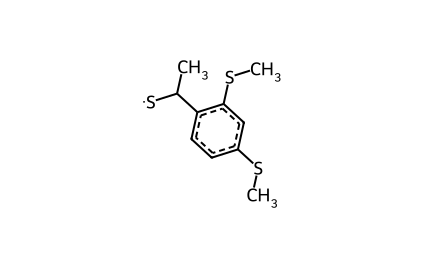 CSc1ccc(C(C)[S])c(SC)c1